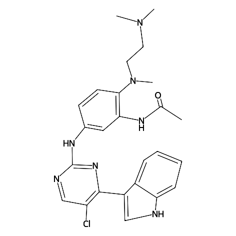 CC(=O)Nc1cc(Nc2ncc(Cl)c(-c3c[nH]c4ccccc34)n2)ccc1N(C)CCN(C)C